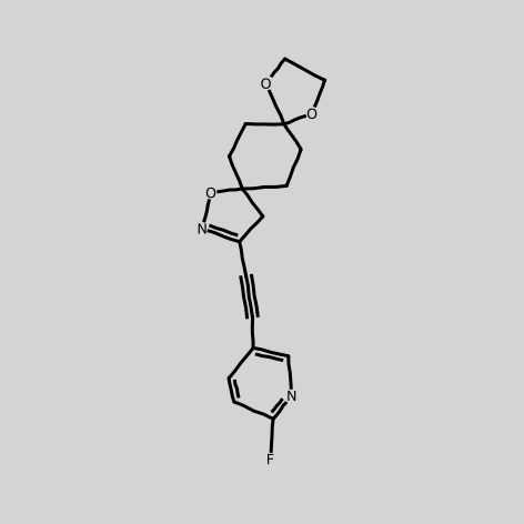 Fc1ccc(C#CC2=NOC3(CCC4(CC3)OCCO4)C2)cn1